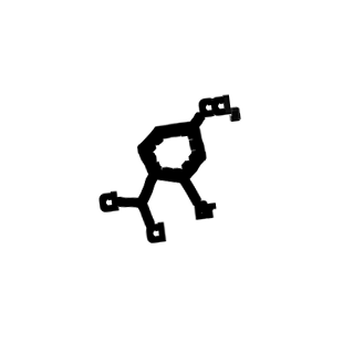 ClC(Cl)c1ccc(C(Cl)(Cl)Cl)cc1Br